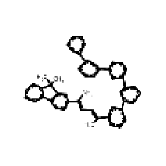 C/C(=C\C=C(/N)c1ccc2c(c1)C(C)(C)c1ccccc1-2)c1cccc(-c2cccc(-c3cccc(-c4cccc(-c5ccccc5)c4)c3)c2)c1